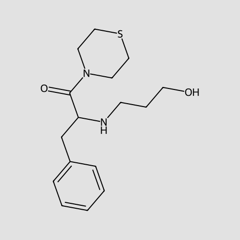 O=C(C(Cc1ccccc1)NCCCO)N1CCSCC1